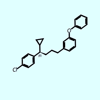 Clc1ccc([C@H](CCCc2cccc(Oc3ccccc3)c2)C2CC2)cc1